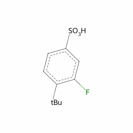 CC(C)(C)c1ccc(S(=O)(=O)O)cc1F